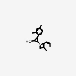 C/C=C\C1=C(C)CN1C1C(O)C1c1ccc(C)cc1C